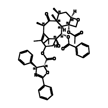 CC(=O)O[C@@]12CO[C@@H]1C[C@H](C)[C@@]1(C)C(=O)[C@H](C)C3=C(C)C(OC(=O)[C@@H]4OC(c5ccccc5)=N[C@H]4c4ccccc4)C[C@@](O)([C@@H](OC(=O)c4ccccc4)[C@H]21)C3(C)C